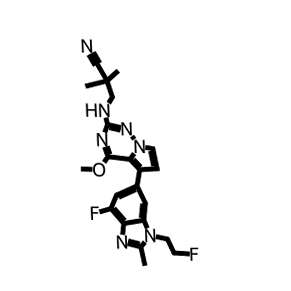 COc1nc(NCC(C)(C)C#N)nn2ccc(-c3cc(F)c4nc(C)n(CCF)c4c3)c12